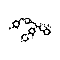 CCc1ccc(CN2CC3C(C2)C3CN(C(=O)Cc2ccccc2C)c2ccc(N3CCOCC3)c(F)c2)cc1